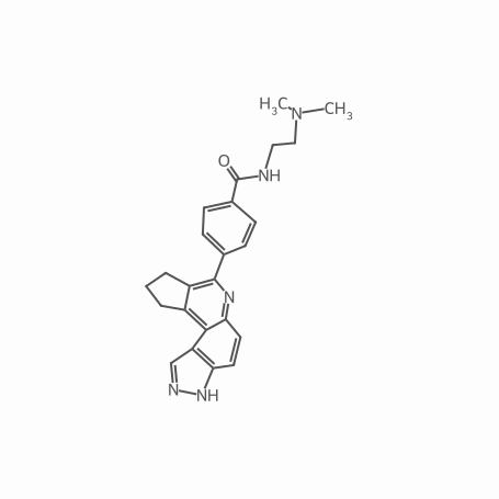 CN(C)CCNC(=O)c1ccc(-c2nc3ccc4[nH]ncc4c3c3c2CCC3)cc1